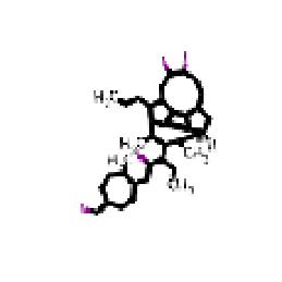 CCCC1C2CC(I)C(I)CCC3C[C@H]4C5=C(C1C(C)C(C(CC)C(I)CC1CCC(CI)CCC1C)C4C)C2C53